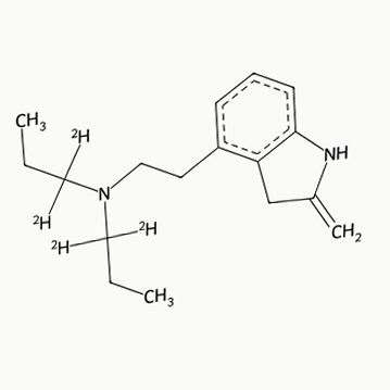 [2H]C([2H])(CC)N(CCc1cccc2c1CC(=C)N2)C([2H])([2H])CC